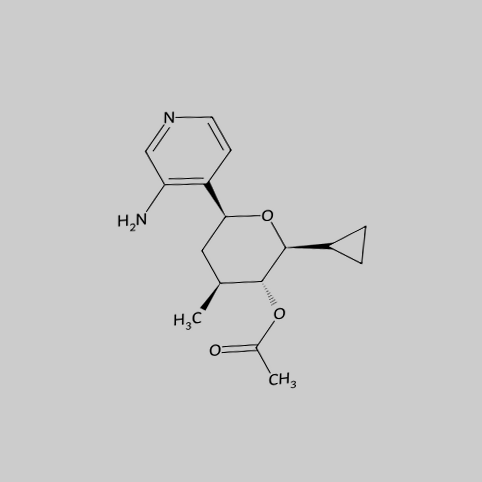 CC(=O)O[C@@H]1[C@@H](C)C[C@@H](c2ccncc2N)O[C@H]1C1CC1